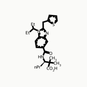 CCC[C@@H](NC(=O)c1ccc2c(c1)nc(Cc1cccs1)n2C(CC)CC)C(C)(C)C(=O)O